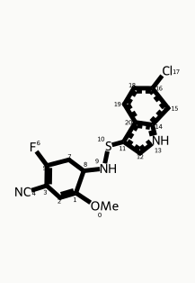 COC1=CC(C#N)=C(F)CC1NSc1c[nH]c2cc(Cl)ccc12